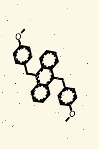 COc1ccc(Cc2c3ccccc3c(Cc3ccc(OC)cc3)c3ccccc23)cc1